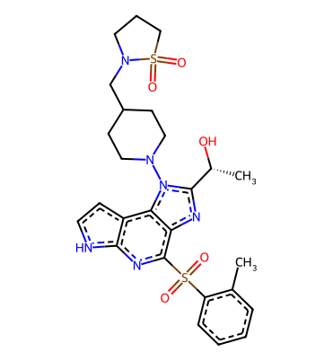 Cc1ccccc1S(=O)(=O)c1nc2[nH]ccc2c2c1nc([C@@H](C)O)n2N1CCC(CN2CCCS2(=O)=O)CC1